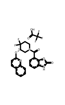 O=C(O)C(F)(F)F.O=C(c1cccc2[nH]c(=O)oc12)N1CCC(F)(F)[C@@H](Oc2ccc3ccccc3n2)C1